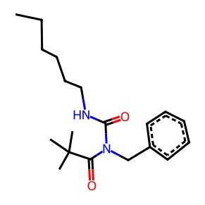 CCCCCCNC(=O)N(Cc1ccccc1)C(=O)C(C)(C)C